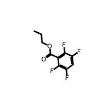 CCCOC(=O)c1c(F)c(F)cc(F)c1F